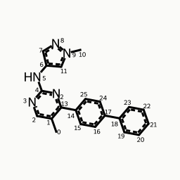 Cc1cnc(Nc2cnn(C)c2)nc1-c1ccc(-c2ccccc2)cc1